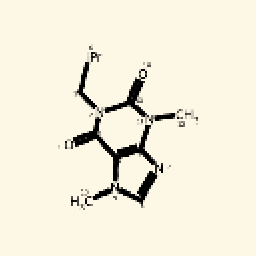 CC(C)Cn1c(=O)c2c(ncn2C)n(C)c1=O